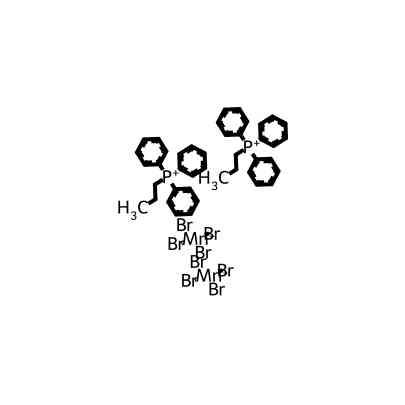 CCC[P+](c1ccccc1)(c1ccccc1)c1ccccc1.CCC[P+](c1ccccc1)(c1ccccc1)c1ccccc1.[Br][Mn-]([Br])([Br])[Br].[Br][Mn-]([Br])([Br])[Br]